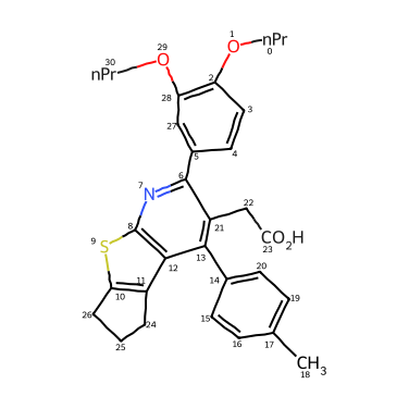 CCCOc1ccc(-c2nc3sc4c(c3c(-c3ccc(C)cc3)c2CC(=O)O)CCC4)cc1OCCC